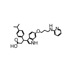 CC(C)c1ccc(C(CC(=O)O)c2c[nH]c3cc(OCCCNc4ccccn4)ccc23)cc1